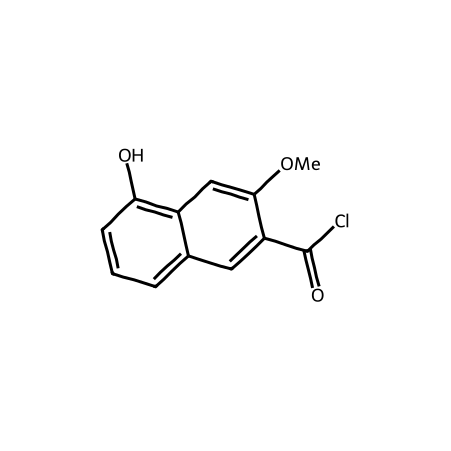 COc1cc2c(O)cccc2cc1C(=O)Cl